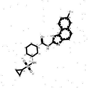 O=C(Nc1nc2ccc3cc(F)ccc3c2s1)[C@H]1CCC[C@@H](NS(=O)(=O)C2CC2)C1